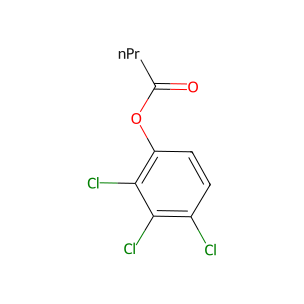 CCCC(=O)Oc1ccc(Cl)c(Cl)c1Cl